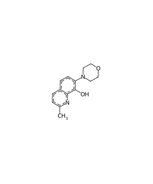 Cc1ccc2ccc(N3CCOCC3)c(O)c2n1